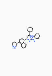 c1ccc(-c2cc(-c3ccc(-c4cccnc4)c4ccccc34)nc3nc4ccccc4n23)cc1